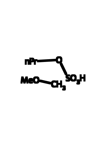 CCCOS(=O)(=O)O.COC